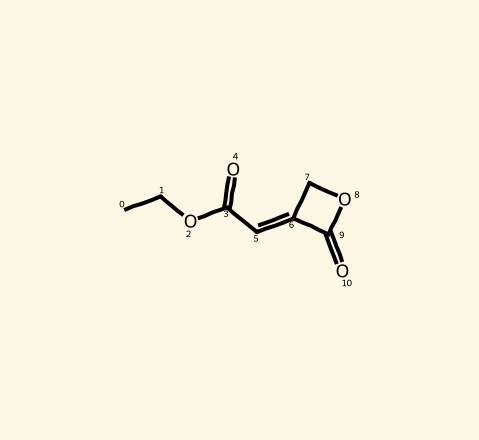 CCOC(=O)C=C1COC1=O